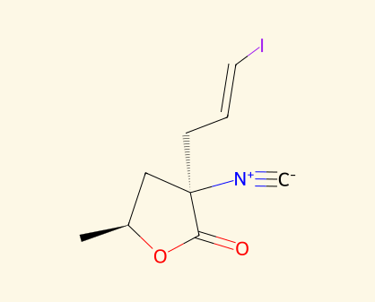 [C-]#[N+][C@]1(C/C=C/I)C[C@H](C)OC1=O